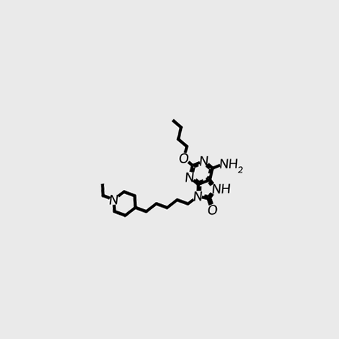 CCCCOc1nc(N)c2[nH]c(=O)n(CCCCCC3CCN(CC)CC3)c2n1